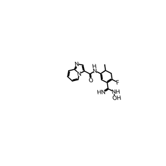 CC1CC(F)=C(C(=N)NO)C=C1NC(=O)c1cnc2ccccn12